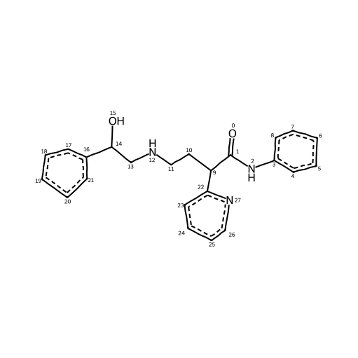 O=C(Nc1ccccc1)C(CCNCC(O)c1ccccc1)c1ccccn1